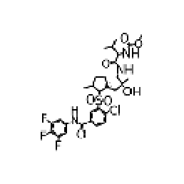 COC(=O)NC(C(=O)NCC(C)(O)C[C@@H]1CCC(C)C1S(=O)(=O)c1cc(C(=O)Nc2cc(F)c(F)c(F)c2)ccc1Cl)C(C)C